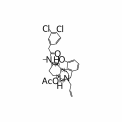 C=CCN1CC[C@]23c4c5cccc4O[C@H]2[C@H](N(C)C(=O)Cc2ccc(Cl)c(Cl)c2)CC[C@@]3(OC(C)=O)[C@H]1C5